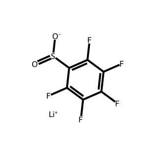 O=S([O-])c1c(F)c(F)c(F)c(F)c1F.[Li+]